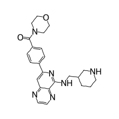 O=C(c1ccc(-c2cc3nccnc3c(NCC3CCCNC3)n2)cc1)N1CCOCC1